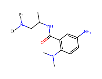 CCN(CC)CC(C)NC(=O)c1cc(N)ccc1N(C)C